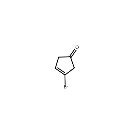 O=C1CC=C(Br)C1